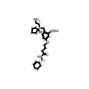 BC1(N(CCN)Cc2ccc(OCCCC(=O)NC[C@H]3C=CCCC3)cc2OC)CCCC1